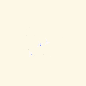 CCCCN(CCCC)c1c(CCC)ccc[n+]1C=Cc1ccccc1.CCN(CC)CC